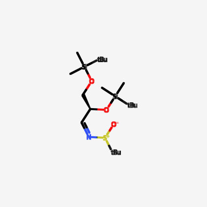 CC(C)(C)[S+]([O-])/N=C\[C@@H](CO[Si](C)(C)C(C)(C)C)O[Si](C)(C)C(C)(C)C